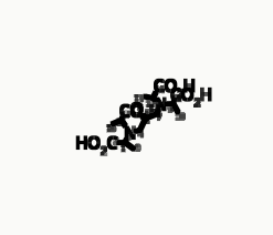 CC(C(=O)O)N(CC(=O)CN(C(C)C(=O)O)C(C)C(=O)O)C(C)C(=O)O